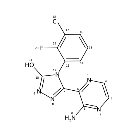 Nc1nccnc1-c1nnc(O)n1-c1cccc(Cl)c1F